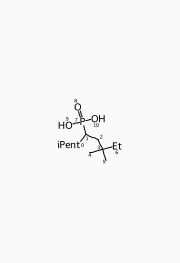 CCCC(C)C(CC(C)(C)CC)P(=O)(O)O